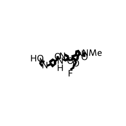 CNC(=O)n1ccc2cc(Oc3ccnc(NC(=O)c4ccc(CN5CC[C@@H](O)C5)cc4)c3)c(OCCCF)cc21